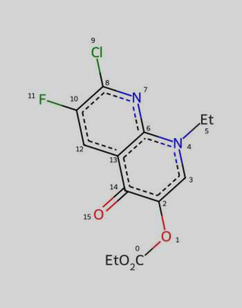 CCOC(=O)Oc1cn(CC)c2nc(Cl)c(F)cc2c1=O